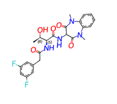 C[C@@H](O)[C@H](NC(=O)Cc1cc(F)cc(F)c1)C(=O)NC1C(=O)N(C)c2ccccc2N(C)C1=O